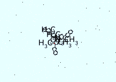 CCc1cc(N(c2cc(CC)c(-c3ccc4ccccc4c3)cc2C)c2cc(CC)c(-c3ccc4ccccc4c3)cc2C)c(C)cc1-c1ccc2ccccc2c1